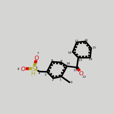 Cc1cc(C[SH](=O)=O)ccc1C(=O)c1ccccc1